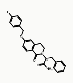 NC(=O)[C@H](Cc1ccccc1)N1CCc2cc(OCc3ccc(F)cc3)ccc2C1=O